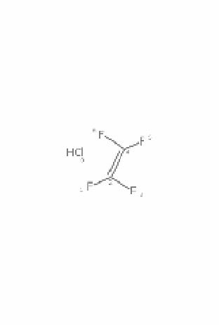 Cl.FC(F)=C(F)F